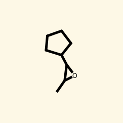 CC1OC1C1CCCC1